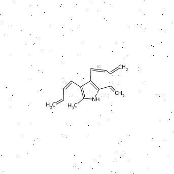 C=C/C=C\c1c(C)[nH]c(C=C)c1/C=C\C=C